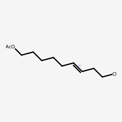 CC(=O)OCCCCC/C=C/CCCl